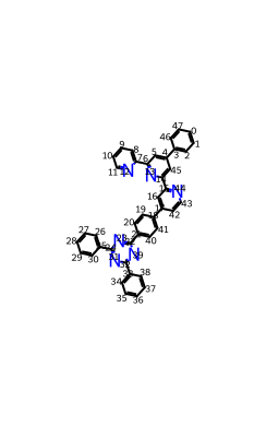 c1ccc(-c2cc(-c3ccccn3)nc(-c3cc(-c4ccc(-c5nc(-c6ccccc6)nc(-c6ccccc6)n5)cc4)ccn3)c2)cc1